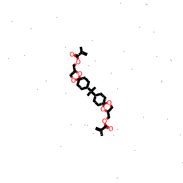 C=C(C)C(=O)OCC1COC2(CCC(C(C)(C)C3CCC4(CC3)OCC(COC(=O)C(=C)C)O4)CC2)O1